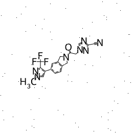 Cn1cc(-c2ccc3c(c2)CN(C(=O)Cn2cnc(C#N)n2)C3)c(C(F)(F)F)n1